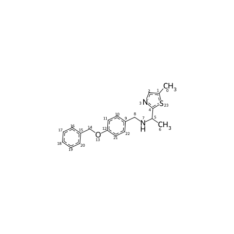 Cc1cnc(C(C)NCc2ccc(OCc3ccccc3)cc2)s1